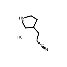 Cl.[N-]=[N+]=NCC1CCNCC1